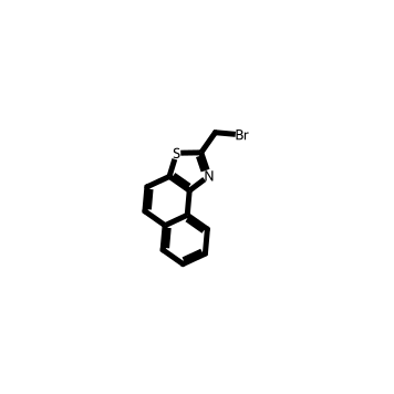 BrCc1nc2c(ccc3ccccc32)s1